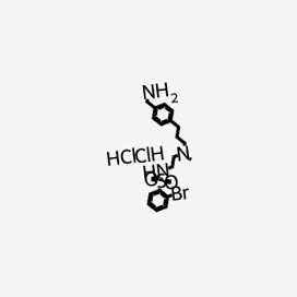 CN(CCCc1ccc(CN)cc1)CCNS(=O)(=O)c1ccccc1Br.Cl.Cl